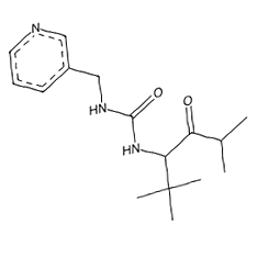 CC(C)C(=O)C(NC(=O)NCc1cccnc1)C(C)(C)C